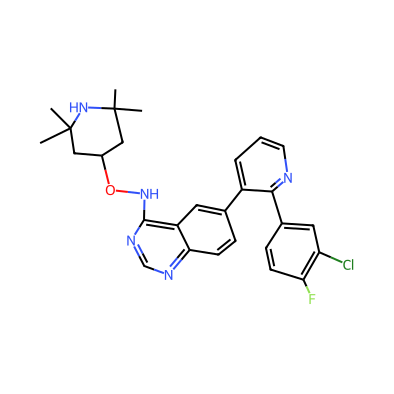 CC1(C)CC(ONc2ncnc3ccc(-c4cccnc4-c4ccc(F)c(Cl)c4)cc23)CC(C)(C)N1